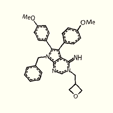 COc1ccc(-c2c(-c3ccc(OC)cc3)n(Cc3ccccc3)c3ncn(CC4COC4)c(=N)c23)cc1